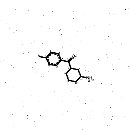 Cc1ccc(C(=O)C2CCCC(N)C2)cc1